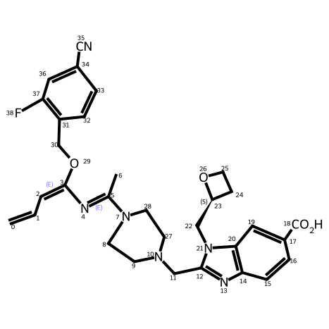 C=C/C=C(\N=C(/C)N1CCN(Cc2nc3ccc(C(=O)O)cc3n2C[C@@H]2CCO2)CC1)OCc1ccc(C#N)cc1F